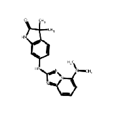 CN(C)c1cccc2nc(Nc3ccc4c(c3)NC(=O)C4(C)C)nn12